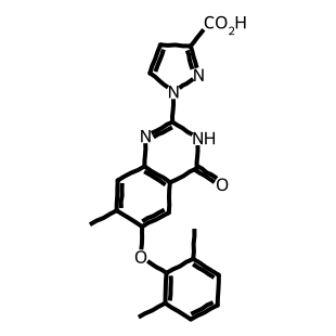 Cc1cc2nc(-n3ccc(C(=O)O)n3)[nH]c(=O)c2cc1Oc1c(C)cccc1C